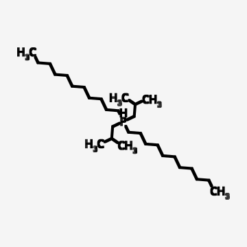 CCCCCCCCCCC[PH](CCCCCCCCCCC)(CC(C)C)CC(C)C